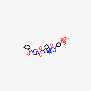 O=C(Nc1ccc(S(=O)(=O)O)cc1)Nc1cccc2c(C(=O)C(=O)N3CCN(C(=O)c4ccccc4)CC3)c[nH]c12